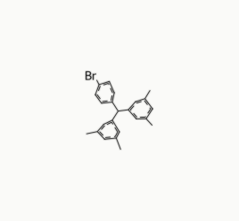 Cc1cc(C)cc(C(c2ccc(Br)cc2)c2cc(C)cc(C)c2)c1